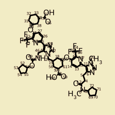 CN(C(=O)CCc1nnn(C)c1-c1ccc(O[C@H]2CC(Cn3nnc(-c4ccc(O[C@H]5CCC[C@H](C(=O)O)C5)c(C(F)(F)F)n4)c3CNC(=O)OC3CCCC3)C[C@H](C(=O)O)C2)c(C(F)(F)F)n1)C1CCCC1